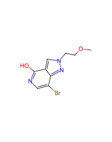 COCCn1cc2c(O)ncc(Br)c2n1